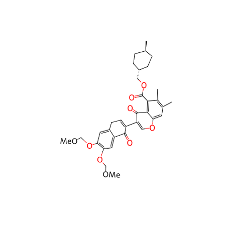 COCOc1cc2c(cc1OCOC)C(=O)C(c1coc3cc(C)c(C)c(C(=O)OC[C@H]4CC[C@H](C)CC4)c3c1=O)=CC2